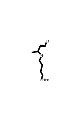 CCC=CC(C)[N]CCCCCCCCCC